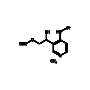 C.CC(C)Nc1ccncc1C(S)COC=O